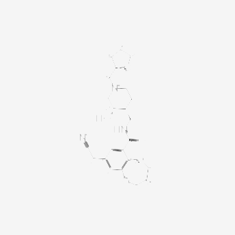 N#CCc1cc2c(c(C(=O)NC[C@@H]3CCN(CC4CCCO4)C[C@H]3O)c1)OCCCO2